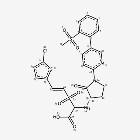 CS(=O)(=O)c1ccccc1-c1ccc(N2CC[C@H](NC(C(=O)O)S(=O)(=O)C=Cc3ccc(Cl)s3)C2=O)nc1